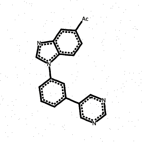 CC(=O)c1ccc2c(c1)ncn2-c1cccc(-c2cncnc2)c1